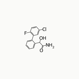 NC(=O)C(O)c1ccccc1-c1cc(Cl)ccc1F